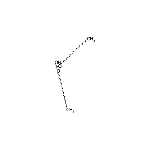 CCCCCCCCCCCCCCCCCCOC[C@H](CO)OCCCCCCCCCCCCCCCCCC